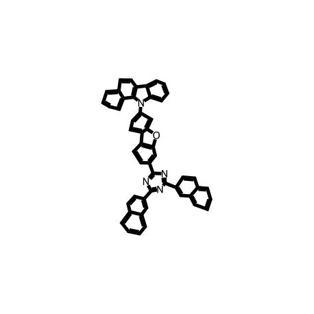 c1ccc2cc(-c3nc(-c4ccc5ccccc5c4)nc(-c4ccc5c(c4)oc4cc(-n6c7ccccc7c7ccc8ccccc8c76)ccc45)n3)ccc2c1